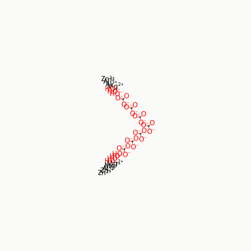 O=C([O-])[O-].O=C([O-])[O-].O=C([O-])[O-].O=C([O-])[O-].O=C([O-])[O-].O=C([O-])[O-].O=C([O-])[O-].[Al+3].[Al+3].[Al+3].[Mg+2].[Mg+2].[Mg+2].[OH-].[OH-].[OH-].[OH-].[OH-].[OH-].[OH-].[Zn+2].[Zn+2].[Zn+2]